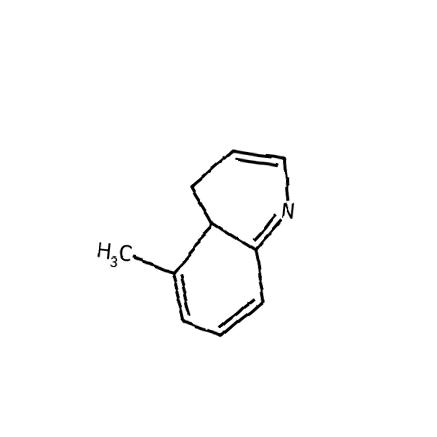 CC1=CC=CC2=NC=CCC12